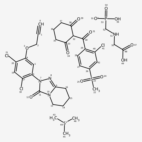 C#CCOc1cc(-n2nc3n(c2=O)CCCC3)c(Cl)cc1Cl.CS(=O)(=O)c1ccc(C(=O)C2C(=O)CCCC2=O)c(Cl)c1.C[S+](C)C.O=C(O)CNCP(=O)([O-])O